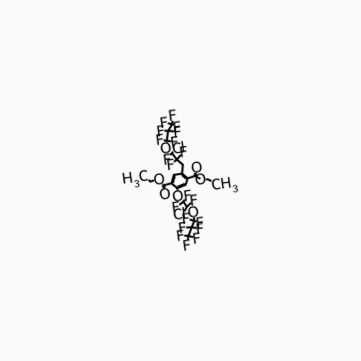 CCOC(=O)c1cc(OC(F)(F)C(F)(Cl)OC(F)(F)C(F)(F)C(F)(F)F)c(C(=O)OCC)cc1CC(F)(F)C(F)(Cl)OC(F)(F)C(F)(F)C(F)(F)F